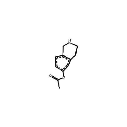 CC(=O)Oc1ccc2c(c1)CCNC2